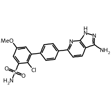 COc1cc(-c2ccc(-c3ccc4c(N)n[nH]c4n3)cc2)c(Cl)c(S(N)(=O)=O)c1